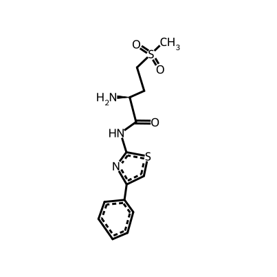 CS(=O)(=O)CC[C@H](N)C(=O)Nc1nc(-c2ccccc2)cs1